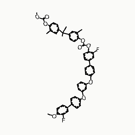 COC(=O)Oc1ccc(C(C)(C)c2ccc(OC(=O)Oc3ccc(-c4ccc(Oc5cccc(Oc6ccc(-c7ccc(OC)c(F)c7)cc6)c5)cc4)cc3F)c(C)c2)cc1C